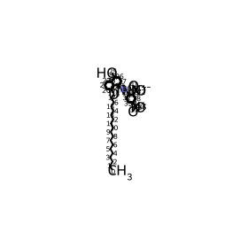 CCCCCCCCCCCCCCCCCCOc1cccc2c(O)ccc(/N=N/c3ccc([N+](=O)[O-])cc3[N+](=O)[O-])c12